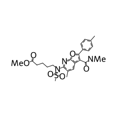 CNC(=O)c1c(-c2ccc(C)cc2)oc2nc(N(CCCCC(=O)OC)S(C)(=O)=O)c(C)cc12